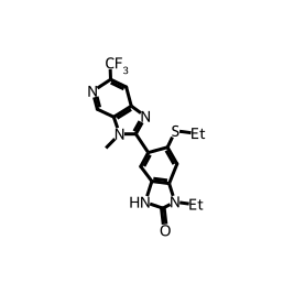 CCSc1cc2c(cc1-c1nc3cc(C(F)(F)F)ncc3n1C)[nH]c(=O)n2CC